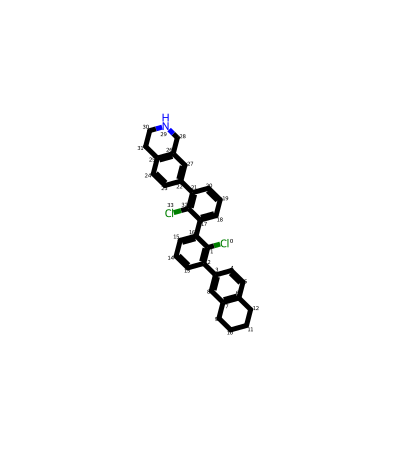 Clc1c(-c2ccc3c(c2)CCCC3)cccc1-c1cccc(-c2ccc3c(c2)CNCC3)c1Cl